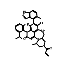 C=CC(=O)N1CC(C)N2c3nc(=O)n(-c4c(C)ccnc4C(C)C)c4c(F)c(-c5c(C)ccc6[nH]ncc56)c(Cl)c(c34)NCC2C1